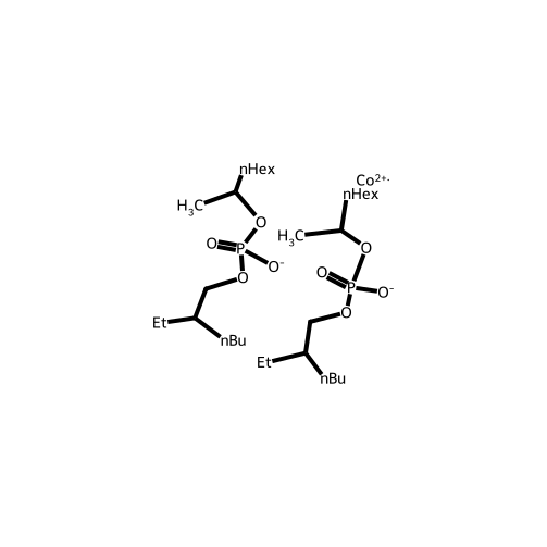 CCCCCCC(C)OP(=O)([O-])OCC(CC)CCCC.CCCCCCC(C)OP(=O)([O-])OCC(CC)CCCC.[Co+2]